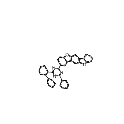 c1ccc(-c2nc(-c3ccc4oc5cc6c(cc5c4c3)oc3ccccc36)nc(-c3ccccc3-c3ccccc3)n2)cc1